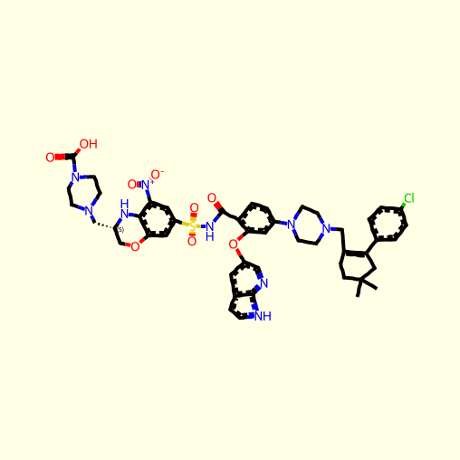 CC1(C)CCC(CN2CCN(c3ccc(C(=O)NS(=O)(=O)c4cc5c(c([N+](=O)[O-])c4)N[C@@H](CN4CCN(C(=O)O)CC4)CO5)c(Oc4cnc5[nH]ccc5c4)c3)CC2)=C(c2ccc(Cl)cc2)C1